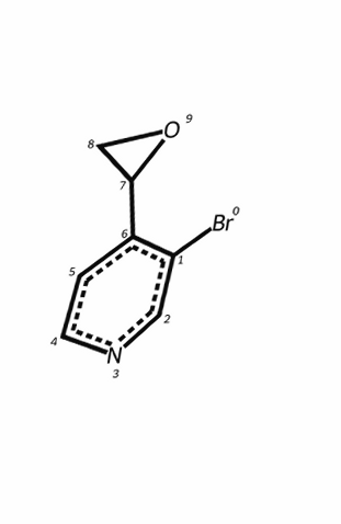 Brc1cnccc1C1CO1